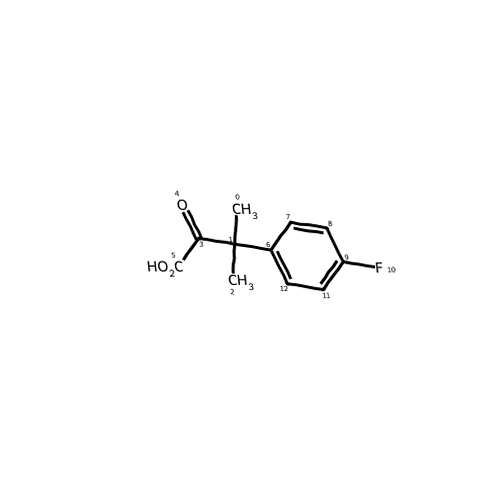 CC(C)(C(=O)C(=O)O)c1ccc(F)cc1